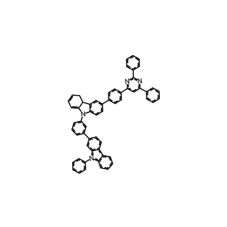 C1=CCC2C(=C1)N(c1cccc(-c3ccc4c5ccccc5n(-c5ccccc5)c4c3)c1)c1ccc(-c3ccc(-c4cc(-c5ccccc5)nc(-c5ccccc5)n4)cc3)cc12